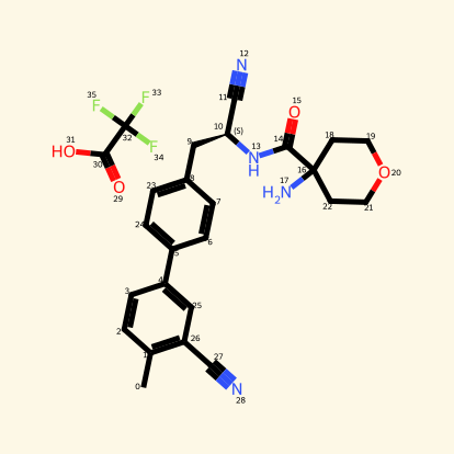 Cc1ccc(-c2ccc(C[C@@H](C#N)NC(=O)C3(N)CCOCC3)cc2)cc1C#N.O=C(O)C(F)(F)F